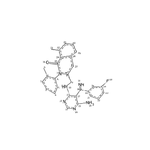 Cc1ccccc1-n1c(CNc2ncnc(N)c2C(=N)c2cccc(F)c2)cc2cccc(C)c2c1=O